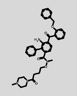 CN1CCN(C(=O)CCCON(C)C(=O)c2ccc(C(=O)c3ccccc3OCc3ccccc3)c(N)c2-c2ccccc2)CC1